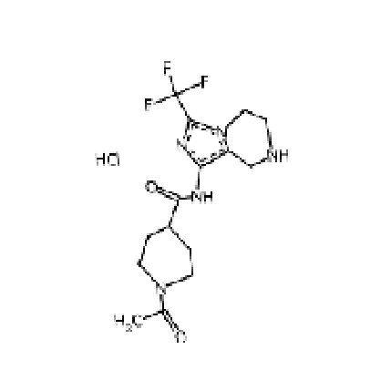 CC(=O)N1CCC(C(=O)Nc2nc(C(F)(F)F)n3c2CNCC3)CC1.Cl